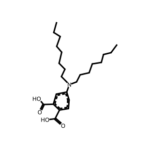 CCCCCCCCN(CCCCCCCC)c1ccc(C(=O)O)c(C(=O)O)c1